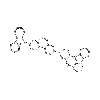 c1ccc2c(c1)c1ccccc1n2-c1ccc2c(ccc3cc(-c4ccc5c(c4)Oc4cccc6c7ccccc7n-5c46)ccc32)c1